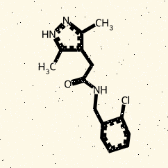 Cc1n[nH]c(C)c1CC(=O)NCc1ccccc1Cl